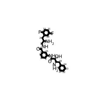 NC(CNC(=O)c1cccc(NC(=O)C(O)C(N)Cc2ccccc2)c1)Cc1cc(F)ccc1F